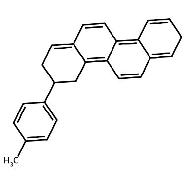 Cc1ccc(C2CC=c3ccc4c5c(ccc4c3C2)=CCC=C5)cc1